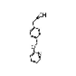 C#CCc1ccc(COc2ccccn2)cc1